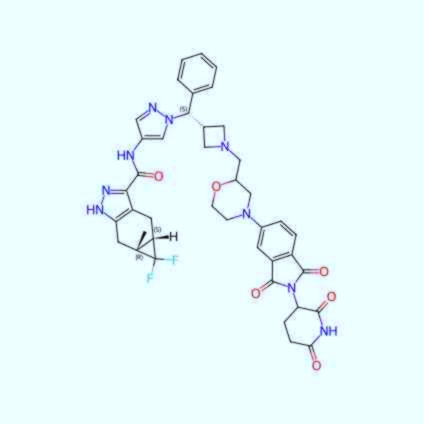 C[C@@]12Cc3[nH]nc(C(=O)Nc4cnn([C@H](c5ccccc5)C5CN(CC6CN(c7ccc8c(c7)C(=O)N(C7CCC(=O)NC7=O)C8=O)CCO6)C5)c4)c3C[C@@H]1C2(F)F